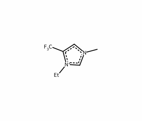 CC[n+]1cn(C)cc1C(F)(F)F